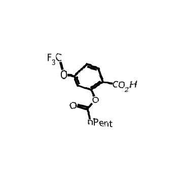 CCCCCC(=O)Oc1cc(OC(F)(F)F)ccc1C(=O)O